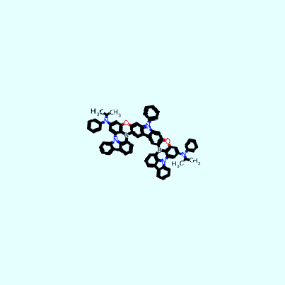 CC(C)N(c1ccccc1)c1cc2c3c(c1)-n1c4ccccc4c4cccc(c41)B3c1cc3c4cc5c(cc4n(-c4ccccc4)c3cc1O2)Oc1cc(N(c2ccccc2)C(C)C)cc2c1B5c1cccc3c4ccccc4n-2c13